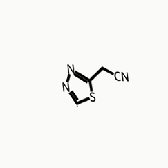 N#CCc1nn[c]s1